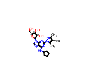 CCCCc1c(C)nn(-c2nc(NC3CCCC3)c3ncn(C4O[C@H](CO)[C@@H](O)[C@H]4O)c3n2)c1C